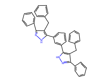 c1ccc(Cc2c(-c3ccccc3)n[nH]c2-c2cccc(-c3[nH]nc(-c4ccccc4)c3Cc3ccccc3)c2)cc1